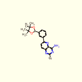 [2H]c1nc(N)c2nc(-c3cccc(B4OC(C)(C)C(C)(C)O4)c3)ccc2n1